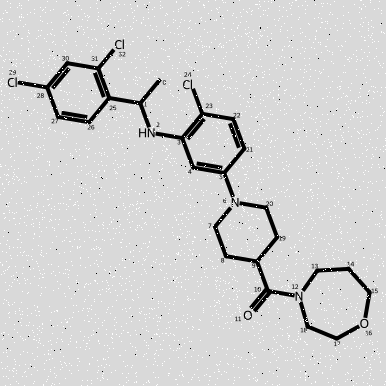 CC(Nc1cc(N2CCC(C(=O)N3CCCOCC3)CC2)ccc1Cl)c1ccc(Cl)cc1Cl